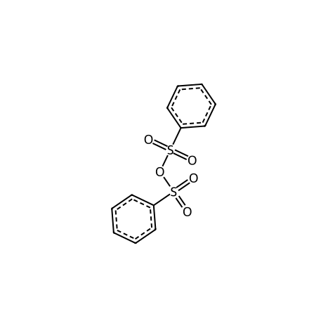 O=S(=O)(OS(=O)(=O)c1ccccc1)c1ccccc1